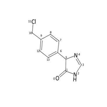 O=C1NC=NC1c1ccc(CCl)cc1